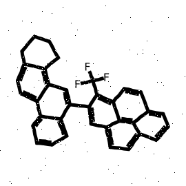 FC(F)(F)c1c(-c2cc3c4c(ccc3c3ccccc23)CCCC4)cc2ccc3cccc4ccc1c2c34